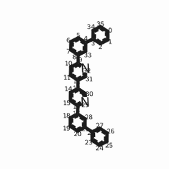 c1ccc(-c2cccc(-c3ccc(-c4ccc(-c5cccc(-c6ccccc6)c5)nc4)cn3)c2)cc1